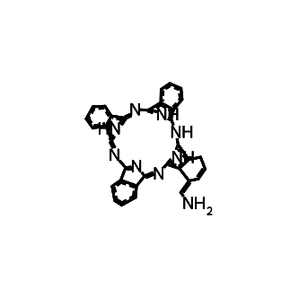 NC=C1C=CCc2c3[nH]c(c21)N=C1N=C(N=c2[nH]/c(c4ccccc24)=N\c2[nH]c(c4ccccc24)N3)c2ccccc21